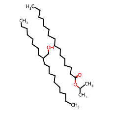 CCCCCCCCCCC(CO)CCCCCCCC.CCCCCCCCCCCCCCCC(=O)OC(C)C